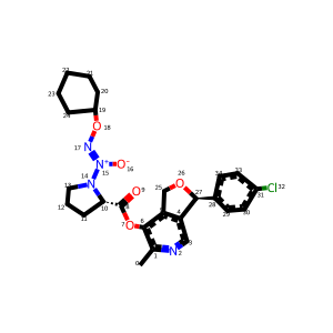 Cc1ncc2c(c1OC(=O)[C@@H]1CCCN1[N+]([O-])=NOC1CCCCC1)CO[C@H]2c1ccc(Cl)cc1